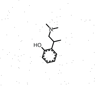 CC(CN(C)C)c1ccccc1O